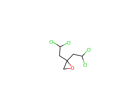 ClC(Cl)CC1(CC(Cl)Cl)CO1